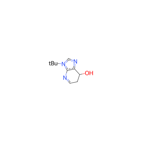 CC(C)(C)n1cnc2c1N=CCC2O